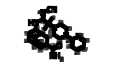 CC(C)(/C(=N\C#N)NC1C2CC3CC1CC(C(N)=O)(C3)C2)N1CCN(c2ccccn2)CC1